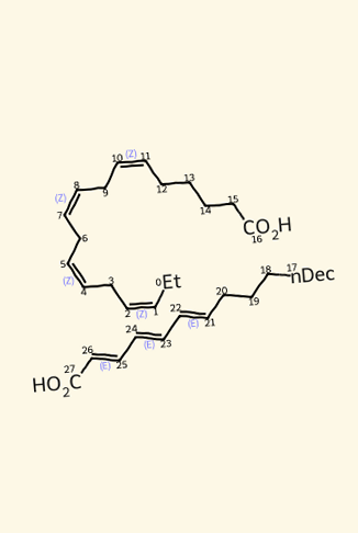 CC/C=C\C/C=C\C/C=C\C/C=C\CCCCC(=O)O.CCCCCCCCCCCCC/C=C/C=C/C=C/C(=O)O